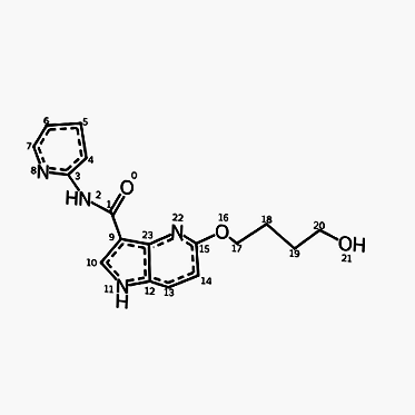 O=C(Nc1ccccn1)c1c[nH]c2ccc(OCCCCO)nc12